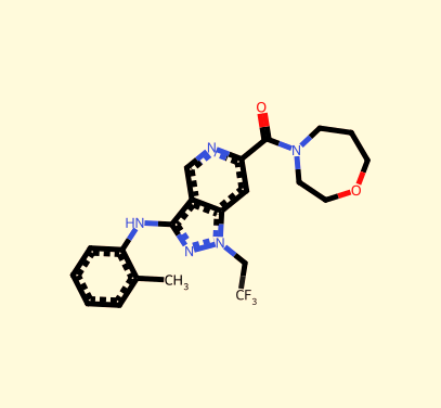 Cc1ccccc1Nc1nn(CC(F)(F)F)c2cc(C(=O)N3CCCOCC3)ncc12